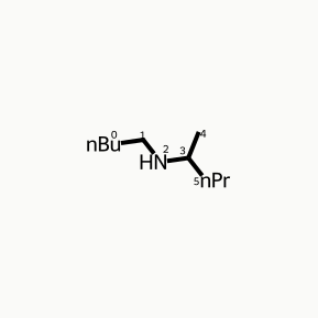 CCCCCNC(C)CCC